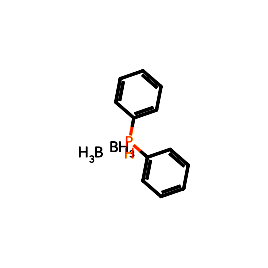 B.B.c1ccc(Pc2ccccc2)cc1